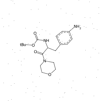 CC(C)(C)OC(=O)NC(Cc1ccc(N)cc1)C(=O)N1CCOCC1